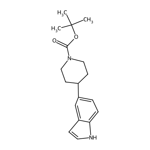 CC(C)(C)OC(=O)N1CCC(c2ccc3[nH]ccc3c2)CC1